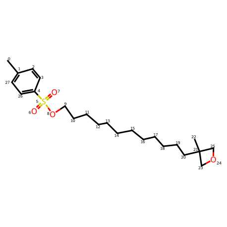 Cc1ccc(S(=O)(=O)OCCCCCCCCCCCCC2(C)COC2)cc1